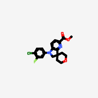 COC(=O)c1ccc2c(n1)C1(CCOCC1)CN2c1ccc(Cl)c(F)c1